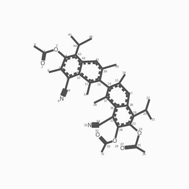 CC(=O)Oc1c(C)c(C#N)c2c(C)c(-c3c(C)cc4c(C(C)C)c(OC(C)=O)c(OC(C)=O)c(C#N)c4c3C)c(C)cc2c1C(C)C